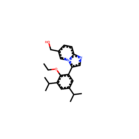 CCOc1c(-c2cnc3ccc(CO)cn23)cc(C(C)C)cc1C(C)C